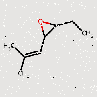 CCC1OC1C=C(C)C